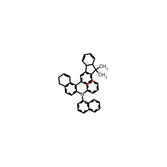 CC1(C)c2ccc(-c3c(N(c4ccccc4)c4cccc5ccccc45)ccc4c3C=CCC4)cc2C2C=CC=CC21